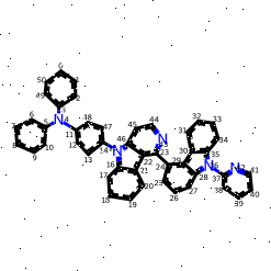 c1ccc(N(c2ccccc2)c2ccc(-n3c4ccccc4c4c(-c5cccc6c5c5ccccc5n6-c5ccccn5)nccc43)cc2)cc1